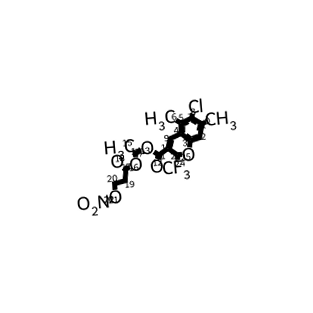 Cc1cc2c(c(C)c1Cl)C=C(C(=O)O[C@@H](C)OC(=O)CCO[N+](=O)[O-])C(C(F)(F)F)O2